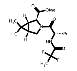 COC(=O)[C@@H]1[C@@H]2[C@H](CN1C(=O)[C@@H](NC(=O)C(C)(F)F)C(C)C)C2(C)C